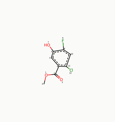 COC(=O)c1cc(O)c(F)cc1Cl